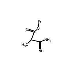 CCOC(=O)C(C)C(=N)N